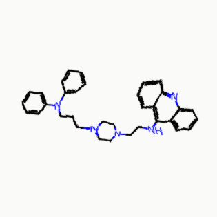 c1ccc(N(CCCN2CCN(CCNc3c4ccccc4nc4ccccc34)CC2)c2ccccc2)cc1